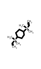 C=C[Si](C)(C)C1CCC([Si](C)(C)C=C)CC1